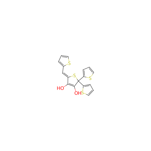 OC1=C(O)C(c2cccs2)(c2cccs2)SC1=Cc1cccs1